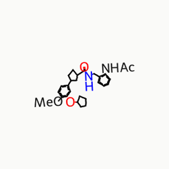 COc1ccc(C2CCC(C(=O)NCc3ccccc3NC(C)=O)C2)cc1OC1CCCC1